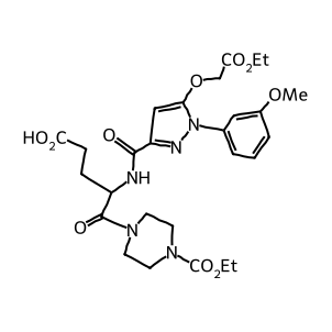 CCOC(=O)COc1cc(C(=O)NC(CCC(=O)O)C(=O)N2CCN(C(=O)OCC)CC2)nn1-c1cccc(OC)c1